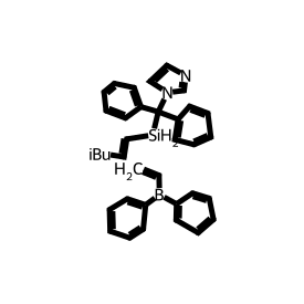 C=CB(c1ccccc1)c1ccccc1.CCC(C)C=C[SiH2]C(c1ccccc1)(c1ccccc1)n1ccnc1